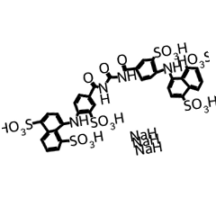 O=C(NC(=O)c1ccc(Nc2ccc(S(=O)(=O)O)c3cccc(S(=O)(=O)O)c23)c(S(=O)(=O)O)c1)NC(=O)c1ccc(Nc2ccc(S(=O)(=O)O)c3cccc(S(=O)(=O)O)c23)c(S(=O)(=O)O)c1.[NaH].[NaH].[NaH]